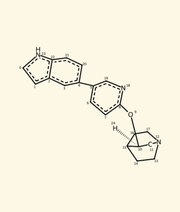 c1cc2cc(-c3ccc(O[C@H]4CN5CCC4CC5)nc3)ccc2[nH]1